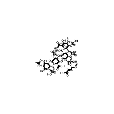 CC(=O)N[C@@H]1[C@@H](O)[C@H](O[C@@H]2O[C@H](C(=O)O)[C@@H](O[C@@H]3O[C@H](CO)[C@@H](O[C@H]4O[C@@H](C(=O)O)[C@H](O)[C@@H](O)[C@@H]4OS(=O)(=O)O)[C@H](OS(=O)(=O)O)[C@H]3NS(=O)(=O)O)[C@H](O)[C@H]2OS(=O)(=O)O)[C@H](COS(=O)(=O)O)O[C@H]1O.COC/C=C/C(=O)O